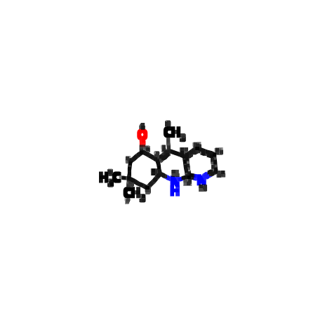 CC1=C2C(=O)CC(C)(C)CC2Nc2ncccc21